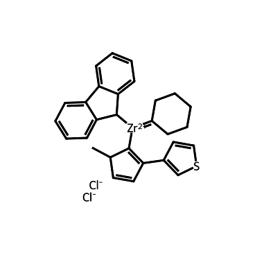 CC1C=CC(c2ccsc2)=[C]1[Zr+2](=[C]1CCCCC1)[CH]1c2ccccc2-c2ccccc21.[Cl-].[Cl-]